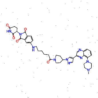 CN1CCN(c2cccc3ncc(-c4cnn(C5CCN(C(=O)CCCCCNc6ccc7c(c6)C(=O)N(C6CCC(=O)NC6=O)C7=O)CC5)c4)nc23)CC1